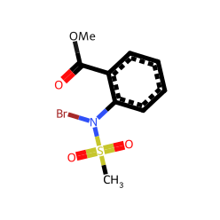 COC(=O)c1ccccc1N(Br)S(C)(=O)=O